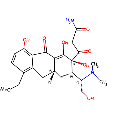 COCc1ccc(O)c2c1C[C@H]1C[C@@H]([C@@H](CO)N(C)C)[C@@](O)(C(=O)CC(N)=O)C(O)=C1C2=O